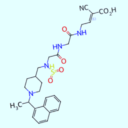 CC(c1cccc2ccccc12)N1CCC(CN(CC(=O)NCC(=O)NC/C=C(\C#N)C(=O)O)[SH](=O)=O)CC1